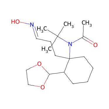 CC(=O)N(C(C)(C)C)C1(CCC=NO)CCCCC1C1OCCO1